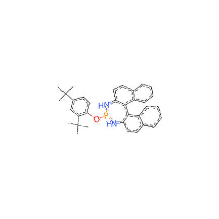 CC(C)(C)c1ccc(Op2[nH]c3ccc4ccccc4c3c3c(ccc4ccccc43)[nH]2)c(C(C)(C)C)c1